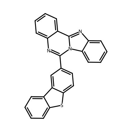 c1ccc2c(c1)nc(-c1ccc3sc4ccccc4c3c1)n1c3ccccc3nc21